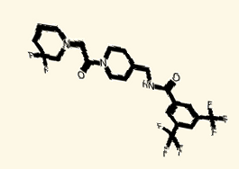 O=C(NCC1CCN(C(=O)CN2CCCC(F)(F)C2)CC1)c1cc(C(F)(F)F)cc(C(F)(F)F)c1